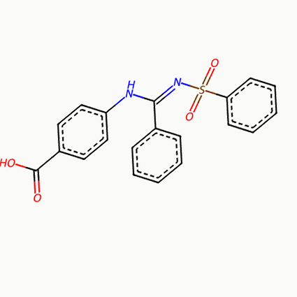 O=C(O)c1ccc(N/C(=N/S(=O)(=O)c2ccccc2)c2ccccc2)cc1